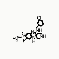 CN(C)CCN(C)c1cc2c(cc1F)NC1(CCNCC1)C(NCc1cccc(Cl)c1)=N2